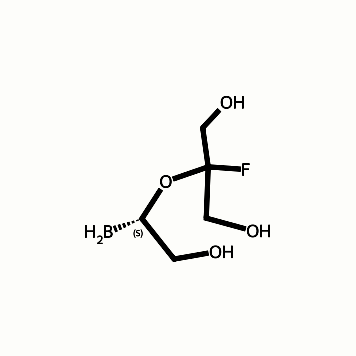 B[C@@H](CO)OC(F)(CO)CO